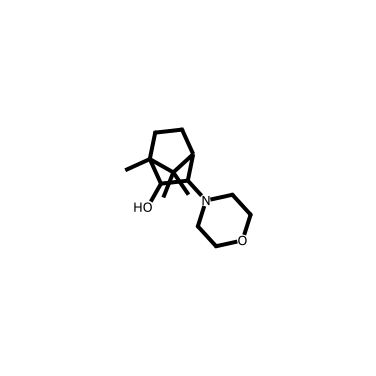 CC1(C)C2CCC1(C)C(O)C2N1CCOCC1